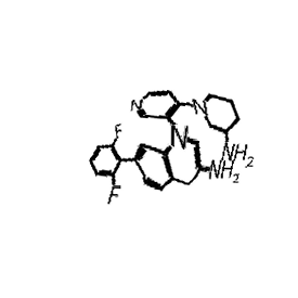 NC1=CN(c2cnccc2N2CCCC(N)C2)c2cc(-c3c(F)cccc3F)ccc2C1